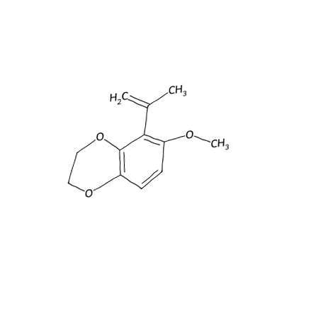 C=C(C)c1c(OC)ccc2c1OCCO2